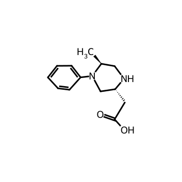 C[C@H]1CN[C@H](CC(=O)O)CN1c1ccccc1